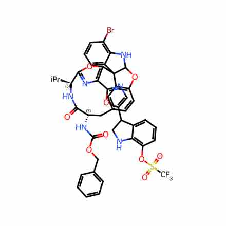 CC(C)[C@@H]1NC(=O)[C@@H](NC(=O)OCc2ccccc2)Cc2ccc3c(c2)C2(c4cccc(Br)c4NC2O3)c2oc1nc2-c1ncc(C2CNc3c(OS(=O)(=O)C(F)(F)F)cccc32)o1